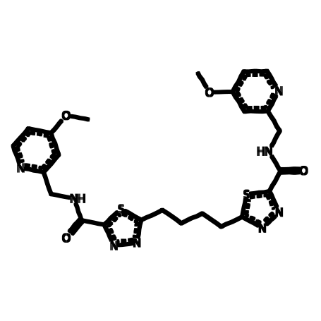 COc1ccnc(CNC(=O)c2nnc(CCCCc3nnc(C(=O)NCc4cc(OC)ccn4)s3)s2)c1